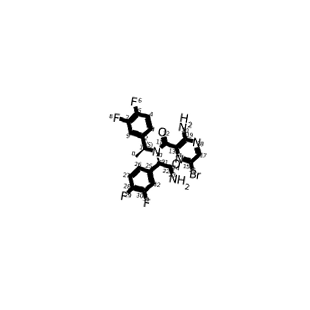 C[C@@H](c1ccc(F)c(F)c1)N(C(=O)c1nc(Br)cnc1N)[C@H](C(N)=O)c1ccc(F)c(F)c1